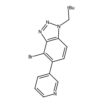 CC(C)(C)Cn1nnc2c(Br)c(-c3cccnc3)ccc21